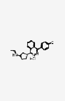 CCNC1CCN(c2nnc(-c3ccc(Cl)cc3)c3ccccc23)C1.Cl